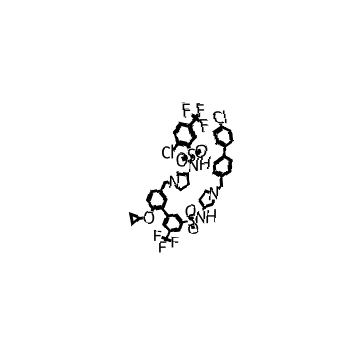 O=S(=O)(N[C@@H]1CCN(Cc2ccc(-c3ccc(Cl)cc3)cc2)C1)c1cc(-c2cc(CN3CC[C@@H](NS(=O)(=O)c4cc(C(F)(F)F)ccc4Cl)C3)ccc2OC2CC2)cc(C(F)(F)F)c1